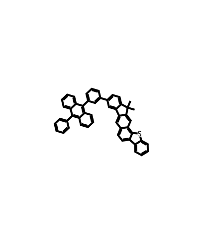 CC1(C)c2ccc(-c3cccc(-c4c5ccccc5c(-c5ccccc5)c5ccccc45)c3)cc2-c2cc3ccc4c5ccccc5sc4c3cc21